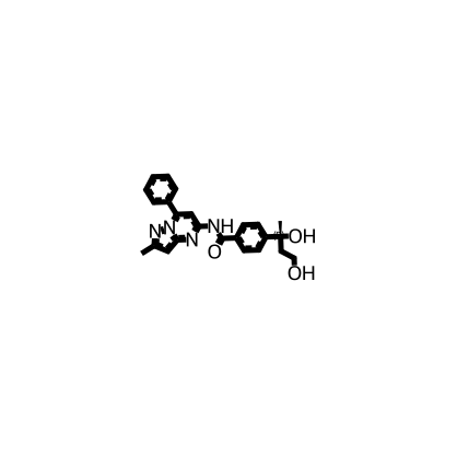 Cc1cc2nc(NC(=O)c3ccc([C@](C)(O)CCO)cc3)cc(-c3ccccc3)n2n1